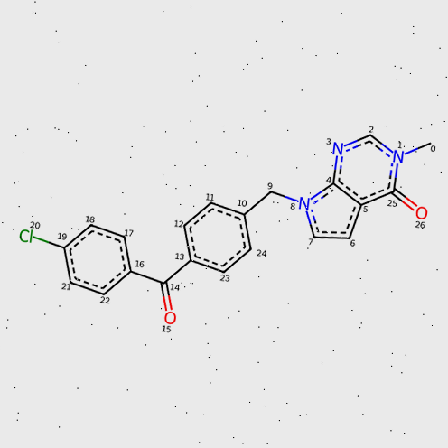 Cn1cnc2c(ccn2Cc2ccc(C(=O)c3ccc(Cl)cc3)cc2)c1=O